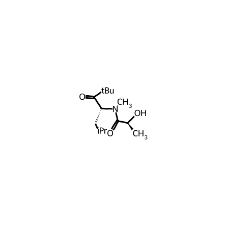 CC(C)C[C@H](C(=O)C(C)(C)C)N(C)C(=O)[C@H](C)O